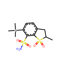 CC1Cc2ccc([Si](C)(C)C)c(S(N)(=O)=O)c2S1(=O)=O